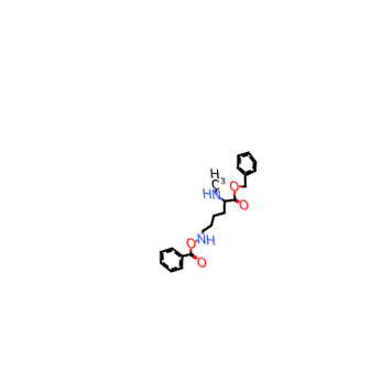 CNC(CCCCNOC(=O)c1ccccc1)C(=O)OCc1ccccc1